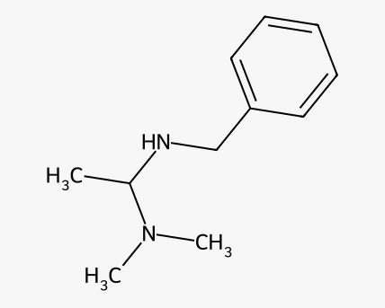 CC(NCc1ccccc1)N(C)C